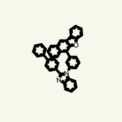 c1ccc(-c2ccc(-c3nc4ccccc4n3-c3cccc(-c4c5ccccc5cc5c4oc4ccccc45)c3)cc2)cc1